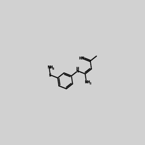 CC(=N)/C=C(/N)Nc1cccc(SN)c1